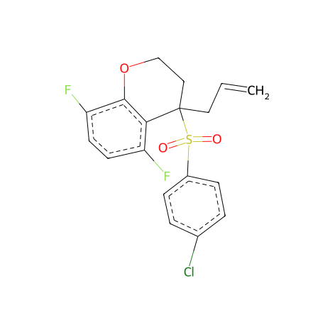 C=CCC1(S(=O)(=O)c2ccc(Cl)cc2)CCOc2c(F)ccc(F)c21